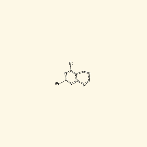 CCc1nc(C(C)C)cc2ncccc12